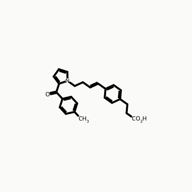 Cc1ccc(C(=O)c2cccn2CC/C=C/c2ccc(CCC(=O)O)cc2)cc1